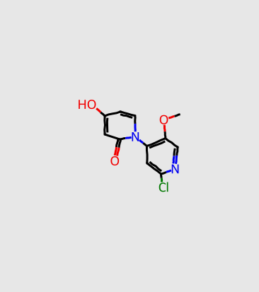 COc1cnc(Cl)cc1-n1ccc(O)cc1=O